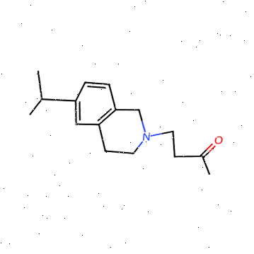 CC(=O)CCN1CCc2cc(C(C)C)ccc2C1